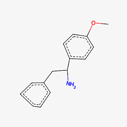 COc1ccc(C(N)Cc2ccccc2)cc1